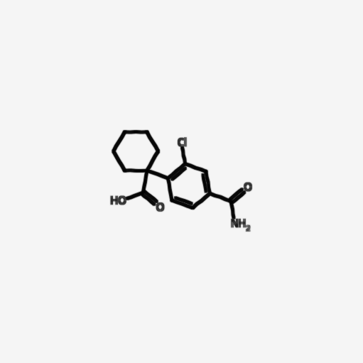 NC(=O)c1ccc(C2(C(=O)O)CCCCC2)c(Cl)c1